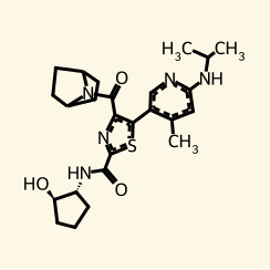 Cc1cc(NC(C)C)ncc1-c1sc(C(=O)N[C@@H]2CCC[C@H]2O)nc1C(=O)N1C2CCC1CC2